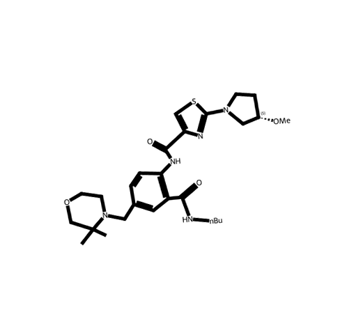 CCCCNC(=O)c1cc(CN2CCOCC2(C)C)ccc1NC(=O)c1csc(N2CC[C@H](OC)C2)n1